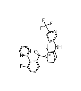 O=C(c1cccc(F)c1-c1ncccn1)N1CC2CC[C@@H]1C(Nc1cnc(C(F)(F)F)cn1)C2